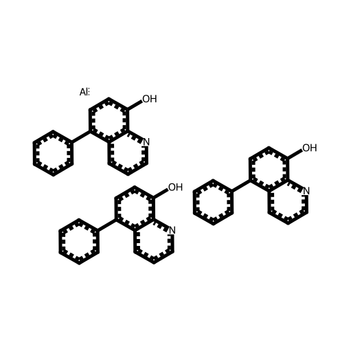 Oc1ccc(-c2ccccc2)c2cccnc12.Oc1ccc(-c2ccccc2)c2cccnc12.Oc1ccc(-c2ccccc2)c2cccnc12.[Al]